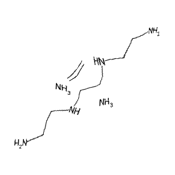 C=C.N.N.NCCNCCNCCN